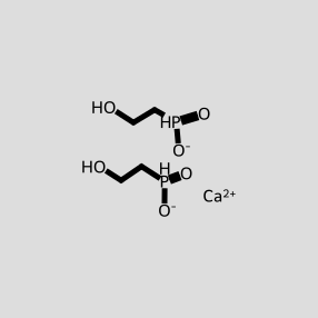 O=[PH]([O-])CCO.O=[PH]([O-])CCO.[Ca+2]